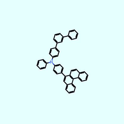 c1ccc(-c2cccc(-c3ccc(N(c4ccccc4)c4ccc(-c5cc6ccccc6c6c5ccc5ccccc56)cc4)cc3)c2)cc1